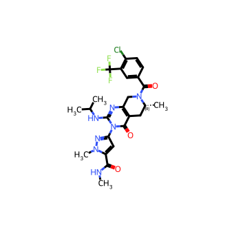 CNC(=O)c1cc(-n2c(NC(C)C)nc3c(c2=O)C[C@@H](C)N(C(=O)c2ccc(Cl)c(C(F)(F)F)c2)C3)nn1C